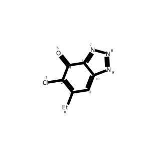 CCC1=C(Cl)C(=O)C2=NN=NC2=C1